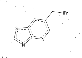 CC(C)Cc1cnc2ncsc2c1